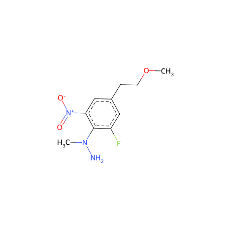 COCCc1cc(F)c(N(C)N)c([N+](=O)[O-])c1